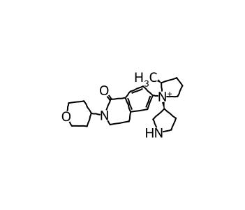 C[C@H]1CCC[N+]1(c1ccc2c(c1)CCN(C1CCOCC1)C2=O)[C@H]1CCNC1